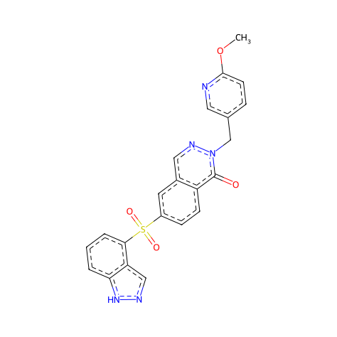 COc1ccc(Cn2ncc3cc(S(=O)(=O)c4cccc5[nH]ncc45)ccc3c2=O)cn1